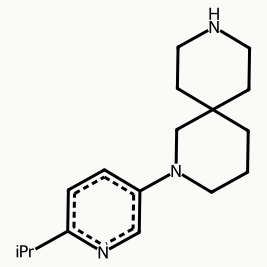 CC(C)c1ccc(N2CCCC3(CCNCC3)C2)cn1